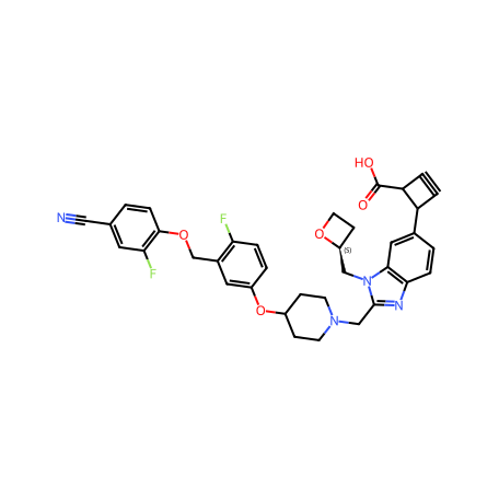 N#Cc1ccc(OCc2cc(OC3CCN(Cc4nc5ccc(C6C#CC6C(=O)O)cc5n4C[C@@H]4CCO4)CC3)ccc2F)c(F)c1